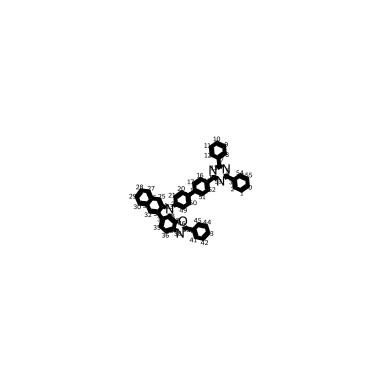 c1ccc(-c2nc(-c3ccccc3)nc(-c3ccc(-c4ccc(-n5c6cc7ccccc7cc6c6ccc7nc(-c8ccccc8)oc7c65)cc4)cc3)n2)cc1